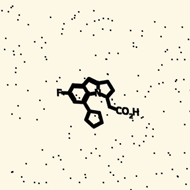 O=C(O)CC1CCc2cc3cc(F)cc(C4CCCC4)c3n21